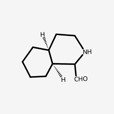 O=CC1NCC[C@@H]2CCCC[C@H]12